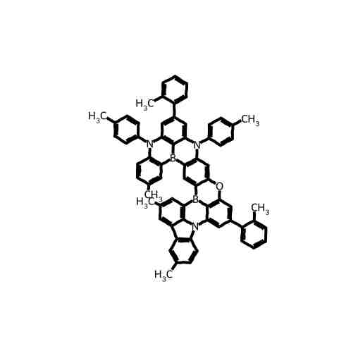 Cc1ccc(N2c3ccc(C)cc3B3c4cc5c(cc4N(c4ccc(C)cc4)c4cc(-c6ccccc6C)cc2c43)Oc2cc(-c3ccccc3C)cc3c2B5c2cc(C)cc4c5cc(C)ccc5n-3c24)cc1